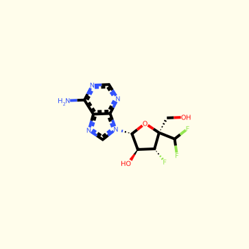 Nc1ncnc2c1ncn2[C@@H]1O[C@@](CO)(C(F)F)[C@H](F)[C@H]1O